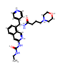 CCNC(=O)Nc1cc2cccc([C@@H](NC(=O)CCCN3CCOCC3)c3ccncc3)c2cn1